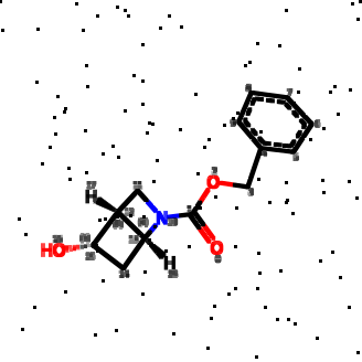 O=C(OCc1ccccc1)N1C[C@@H]2[C@H]1C[C@@H]2O